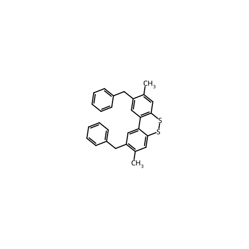 Cc1cc2c(cc1Cc1ccccc1)-c1cc(Cc3ccccc3)c(C)cc1SS2